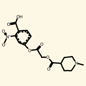 CN1CCC(C(=O)OCC(=O)Oc2ccc(C(=O)O)c([N+](=O)[O-])c2)CC1